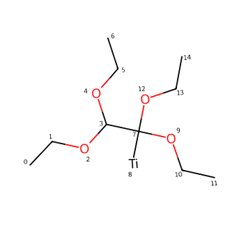 CCOC(OCC)[C]([Ti])(OCC)OCC